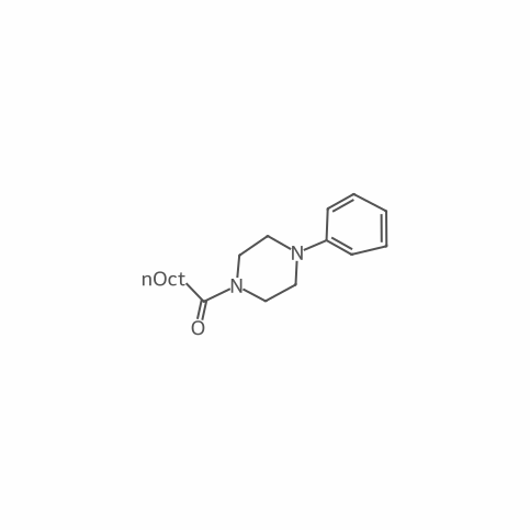 CCCCCCCCC(=O)N1CCN(c2ccccc2)CC1